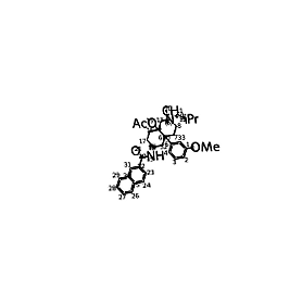 COc1cccc([C@]23CC[N@@+](C)(CC(C)C)CC2(OC(C)=O)CC[C@@H](NC(=O)c2ccc4ccccc4c2)C3)c1